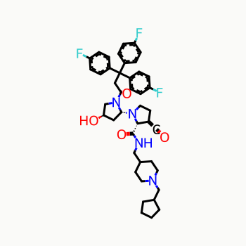 O=C=C1CCN([C@@H]2C[C@@H](O)CN2C(=O)CC(c2ccc(F)cc2)(c2ccc(F)cc2)c2ccc(F)cc2)[C@H]1C(=O)NCC1CCN(CC2CCCC2)CC1